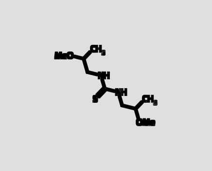 COC(C)CNC(=S)NCC(C)OC